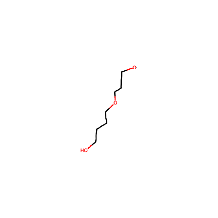 [O]CCCOCCCCO